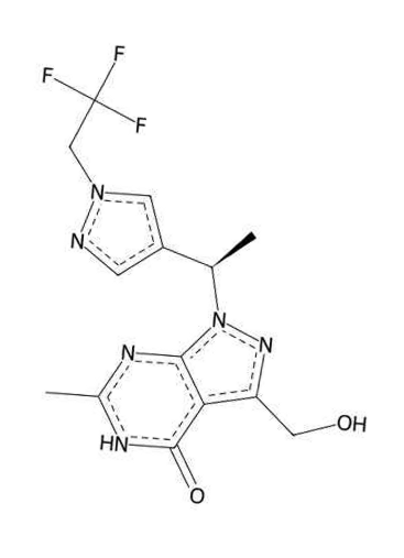 Cc1nc2c(c(CO)nn2[C@H](C)c2cnn(CC(F)(F)F)c2)c(=O)[nH]1